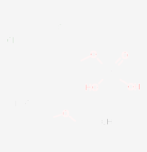 CCOCC.O=P(O)(O)Oc1cccc(Cl)c1Cl